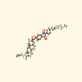 CC(C)CCCC(C)C1CCC2C3CCC4CC(Oc5ccc6c(c5)C(=O)N(c5ccc(C=CC(=O)O)cc5)C6=O)CCC4(C)C3CCC12C